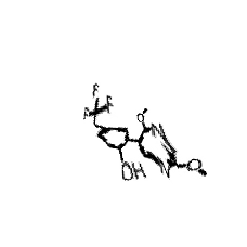 COc1ncc(-c2cc(C(F)(F)F)ccc2O)c(OC)n1